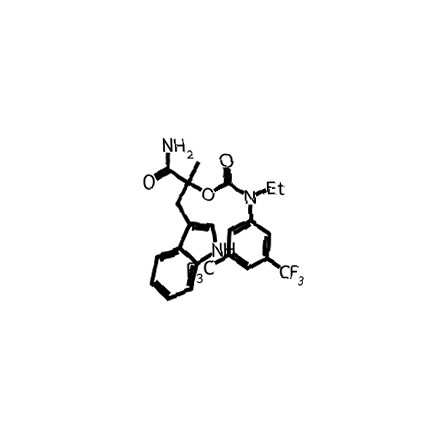 CCN(C(=O)OC(C)(Cc1c[nH]c2ccccc12)C(N)=O)c1cc(C(F)(F)F)cc(C(F)(F)F)c1